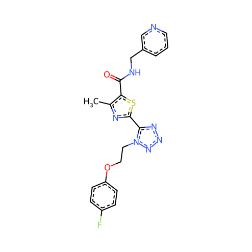 Cc1nc(-c2nnnn2CCOc2ccc(F)cc2)sc1C(=O)NCc1cccnc1